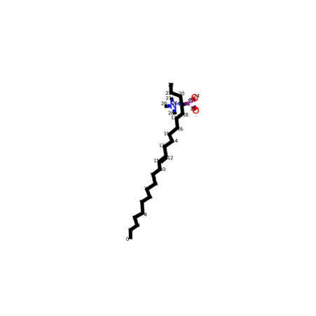 CCCCCCCCCCCC=CCCCCCCC(CCC)(P(=O)=O)[N+](C)(C)C